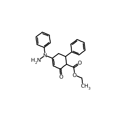 CCOC(=O)C1C(=O)C=C(N(N)c2ccccc2)CC1c1ccccc1